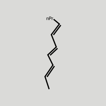 CC=CC=CC=CCCC